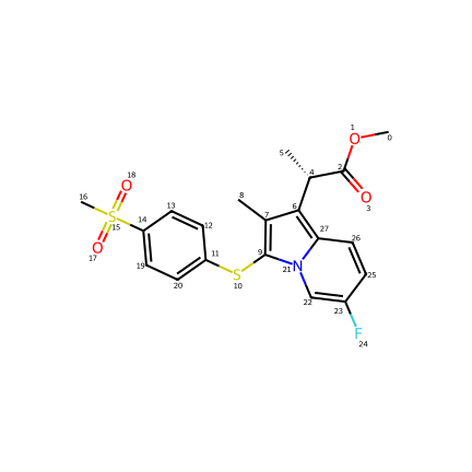 COC(=O)[C@@H](C)c1c(C)c(Sc2ccc(S(C)(=O)=O)cc2)n2cc(F)ccc12